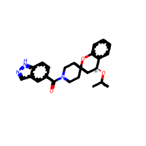 CC(C)O[C@@H]1CC2(CCN(C(=O)c3ccc4[nH]ncc4c3)CC2)Oc2ccccc21